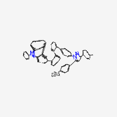 Cc1ccc(-c2cc(-c3ccc(C(C)(C)C)cc3)n(-c3ccc(-c4ccccc4-c4ccccc4-c4ccc5c(c4)c4ccccc4n5-c4ccccc4)cc3)n2)cc1